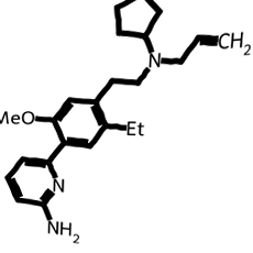 C=CCN(CCc1cc(OC)c(-c2cccc(N)n2)cc1CC)C1CCCC1